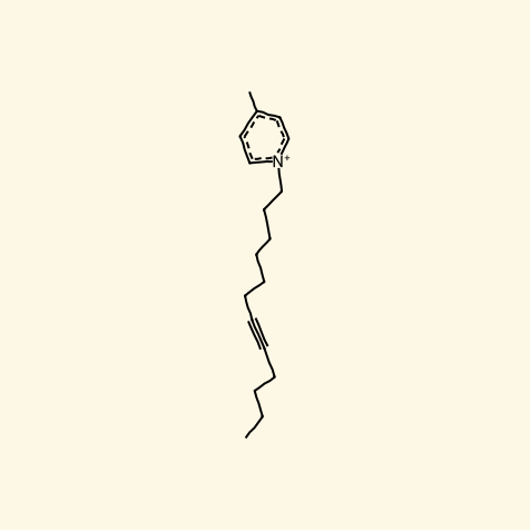 CCCCC#CCCCCCC[n+]1ccc(C)cc1